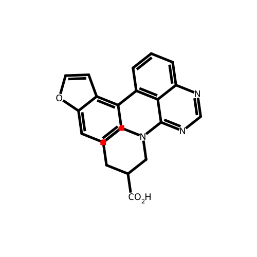 O=C(O)C1CCCN(c2ncnc3cccc(-c4cccc5occc45)c23)C1